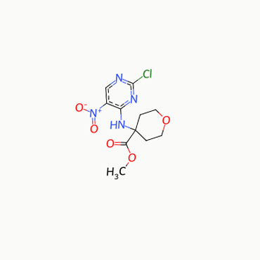 COC(=O)C1(Nc2nc(Cl)ncc2[N+](=O)[O-])CCOCC1